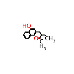 CCC(Cc1cc(O)c2ccccc2c1)C(C)=O